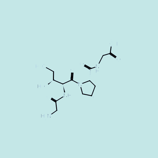 CC[C@H](C)[C@H](NC(=O)CN)C(=O)N1CCC[C@H]1C(=O)NCC(=O)O